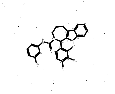 N#Cc1cccc(NC(=O)N2CCCc3c([nH]c4ccccc34)C2c2ccc(F)c(F)c2F)c1